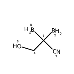 BC(B)(C#N)CO